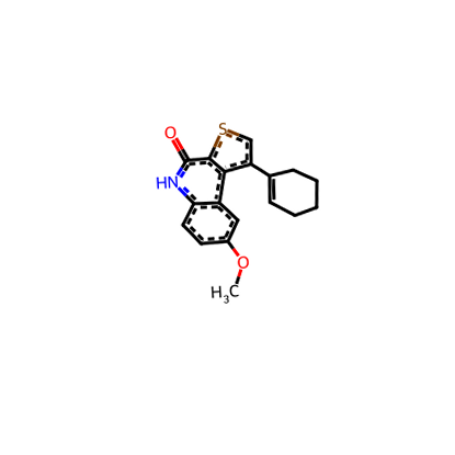 COc1ccc2[nH]c(=O)c3scc(C4=CCCCC4)c3c2c1